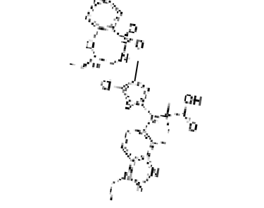 CC[C@@H]1CN(Cc2cc([C@H](c3ccc4c(nnn4CC)c3C)C(C)(C)C(=O)O)sc2Cl)S(=O)(=O)c2ccccc2O1